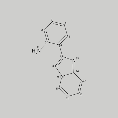 Nc1ccccc1-c1cn2ccccc2n1